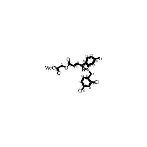 COC(=O)COC(=O)/C=C/c1nn(Cc2ccc(Cl)cc2Cl)c2cc(C)ccc12